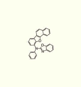 c1ccc(N(c2nc3ccccc3o2)c2cccc3c2oc2c4ccccc4ccc32)cc1